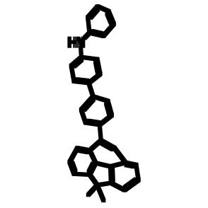 CC1(C)c2cccc3cc(-c4ccc(-c5ccc(Nc6ccccc6)cc5)cc4)c4cccc1c4c23